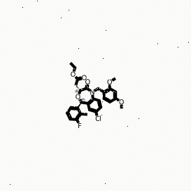 CCOC(=O)C[C@H]1O[C@H](c2cccc(F)c2C)c2cc(Cl)ccc2N(Cc2ccc(OC)cc2OC)C1=O